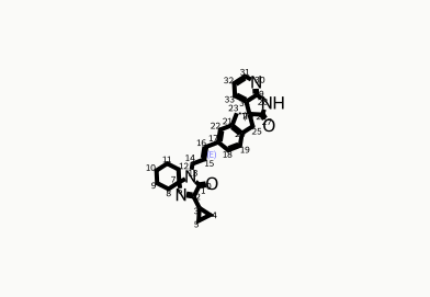 O=C1C(C2CC2)=NC2(CCCCC2)N1C/C=C/c1ccc2c(c1)C[C@@]1(C2)C(=O)Nc2ncccc21